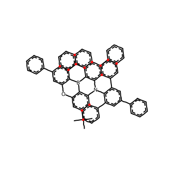 CC(C)(C)c1cc2c3c(c1)N(c1c(-c4ccccc4)cc(-c4ccccc4)cc1-c1ccccc1)c1cc(-c4ccccc4)cc(-c4ccccc4)c1B3c1c(cc(-c3ccccc3)cc1-c1ccccc1)O2